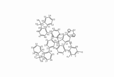 Cc1cc(C)c(-c2cccc3c2-c2cc4c(cc2C3(c2cccc(-c3cccc5c3-c3ccccc3C5(C)C)c2)c2cccc(-c3cccc5c3-c3ccccc3C5(C)C)c2)OCO4)c(C)c1